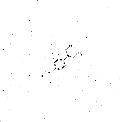 CCN(CC)c1ccc(CC[O])cc1